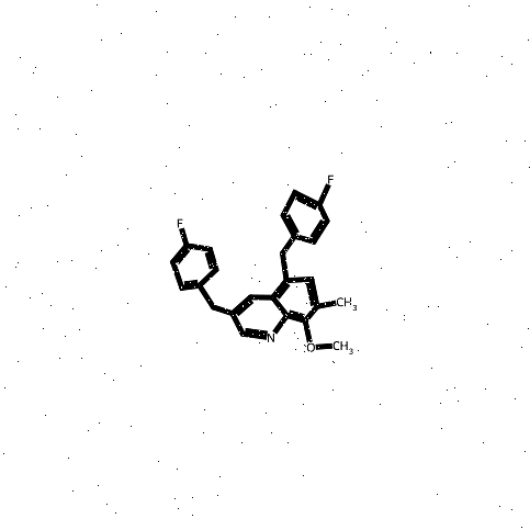 COc1c(C)cc(Cc2ccc(F)cc2)c2cc(Cc3ccc(F)cc3)cnc12